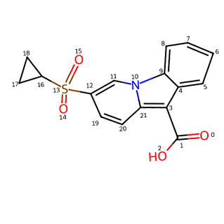 O=C(O)c1c2ccccc2n2cc(S(=O)(=O)C3CC3)ccc12